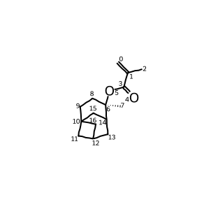 C=C(C)C(=O)O[C@]1(C)CCC23CC(CC1C2)C3